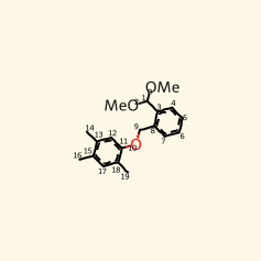 COC(OC)c1ccccc1COc1cc(C)c(C)cc1C